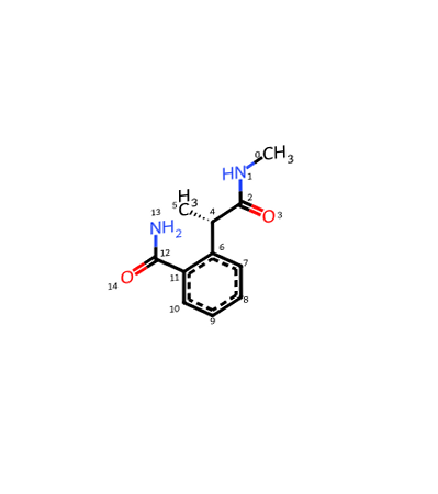 CNC(=O)[C@@H](C)c1ccccc1C(N)=O